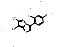 CCc1c(C)nn2c(-c3ccc(Cl)cc3Cl)coc12